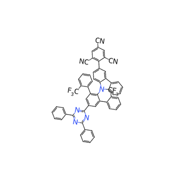 N#Cc1cc(C#N)c(-c2ccc3c(c2)c2ccccc2n3-c2c(-c3ccccc3C(F)(F)F)cc(-c3nc(-c4ccccc4)nc(-c4ccccc4)n3)cc2-c2ccccc2C(F)(F)F)c(C#N)c1